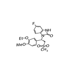 CCOc1cc([C@H](CS(C)(=O)=O)n2c(=O)[nH]c3cc(F)ccc32)ccc1OC